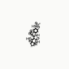 CS(=O)(=O)Nc1ccc2c(c1)S(=O)(=O)N=C(C1=C(O)[C@@H]3CCC[C@@H]3NC1=O)N2